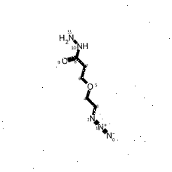 [N-]=[N+]=NCCOCCC(=O)NN